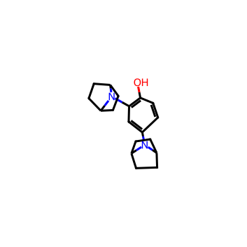 Oc1ccc(N2C3CCC2CC3)cc1N1C2CCC1CC2